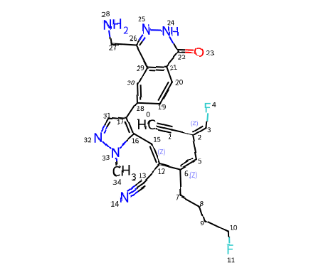 C#CC(=C\F)/C=C(CCCCF)\C(C#N)=C\c1c(-c2ccc3c(=O)[nH]nc(CN)c3c2)cnn1C